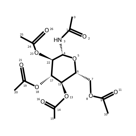 CC(=O)N[C@@H]1O[C@H](COC(C)=O)[C@@H](OC(C)=O)[C@H](OC(C)=O)[C@H]1OC(C)=O